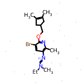 CCN(C)/C=N/c1cc(Br)c(OCC2CC(C)=C(C)C2)nc1C